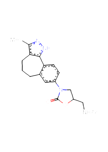 CSc1n[nH]c2c1CCCc1cc(N3CC(CNC(C)=O)OC3=O)ccc1-2